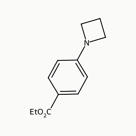 CCOC(=O)c1ccc(N2CCC2)cc1